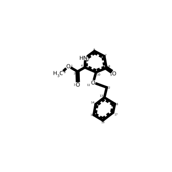 COC(=O)c1[nH]ccc(=O)c1OCc1ccccc1